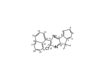 CC1(C)c2ccccc2-c2nc(-c3cccc4ccccc34)c(Cl)nc21